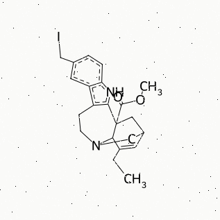 CCC1=CC2CN3CCc4c([nH]c5ccc(CI)cc45)C(C(=O)OC)(C2)C13